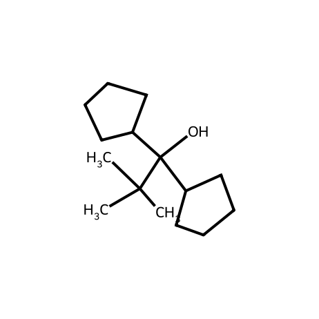 CC(C)(C)C(O)(C1CCCC1)C1CCCC1